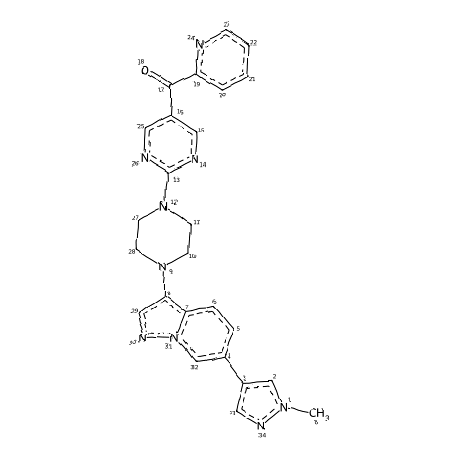 Cn1cc(-c2ccc3c(N4CCN(c5ncc(C(=O)c6ccccn6)cn5)CC4)cnn3c2)cn1